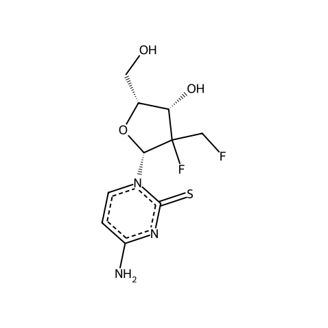 Nc1ccn([C@@H]2O[C@H](CO)[C@H](O)C2(F)CF)c(=S)n1